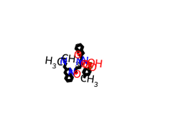 CN(C)CCC1Cc2ccccc2N(C(=O)CCc2nc(-c3cc4ccccc4o3)no2)C1.Cc1ccc(S(=O)(=O)O)cc1